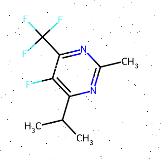 Cc1nc(C(C)C)c(F)c(C(F)(F)F)n1